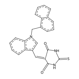 O=C1NC(=S)NC(=O)C1=Cc1cn(Cc2cccc3ccccc23)c2ccccc12